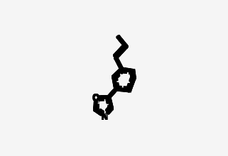 C/C=C/c1cccc(-c2cnco2)c1